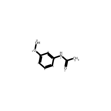 CC(=O)Nc1cccc(OO)c1